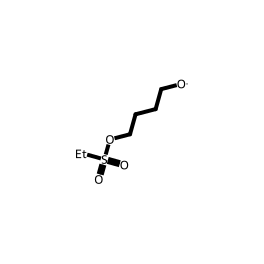 CCS(=O)(=O)OCCCC[O]